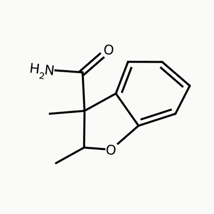 CC1Oc2ccccc2C1(C)C(N)=O